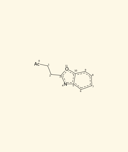 CC(=O)CCc1nc2ccccc2o1